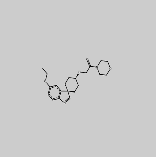 CCOc1ccc2c(c1)[C@]1(C=N2)CC[C@H](OCC(=O)N2CCOCC2)CC1